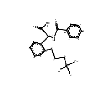 O=C(NC(C(=O)O)c1ccccc1CCCC(F)(F)F)c1ccccc1